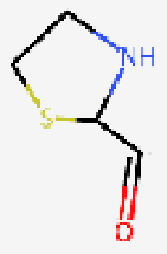 O=[C]C1NCCS1